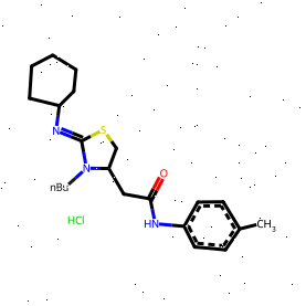 CCCCN1/C(=N/C2CCCCC2)SCC1CC(=O)Nc1ccc(C)cc1.Cl